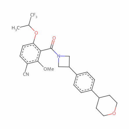 COc1c(C#N)ccc(OC(C)C(F)(F)F)c1C(=O)N1CC(c2ccc(C3CCOCC3)cc2)C1